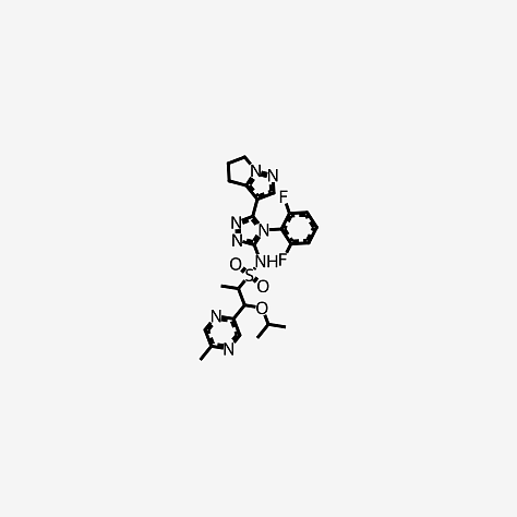 Cc1cnc(C(OC(C)C)C(C)S(=O)(=O)Nc2nnc(-c3cnn4c3CCC4)n2-c2c(F)cccc2F)cn1